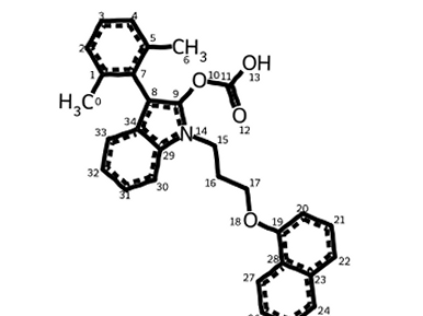 Cc1cccc(C)c1-c1c(OC(=O)O)n(CCCOc2cccc3ccccc23)c2ccccc12